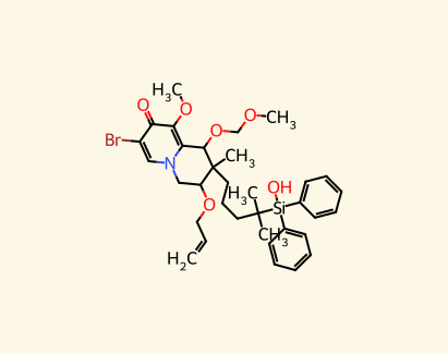 C=CCOC1Cn2cc(Br)c(=O)c(OC)c2C(OCOC)C1(C)CCCC(C)(C)[Si](O)(c1ccccc1)c1ccccc1